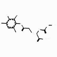 COC(=O)[C@H](CCC(=O)Nc1c(C)cc(C)c(Br)c1C)NC(=O)OC(C)(C)C